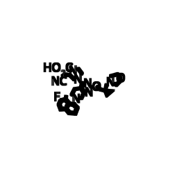 Cc1c(F)ccc2cccc(N3CCc4c(nc(OCC5(CN6CCOCC6)CC5)nc4N4CCN(C(=O)O)C(CC#N)C4)C3)c12